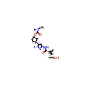 CC(C)NC(=O)O[C@@H]1CC[C@H](c2cc(NC(=O)[C@H]3C[C@@H]3C(C)O)n[nH]2)C1